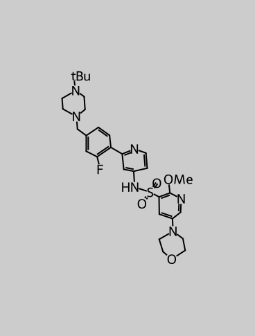 COc1ncc(N2CCOCC2)cc1S(=O)(=O)Nc1ccnc(-c2ccc(CN3CCN(C(C)(C)C)CC3)cc2F)c1